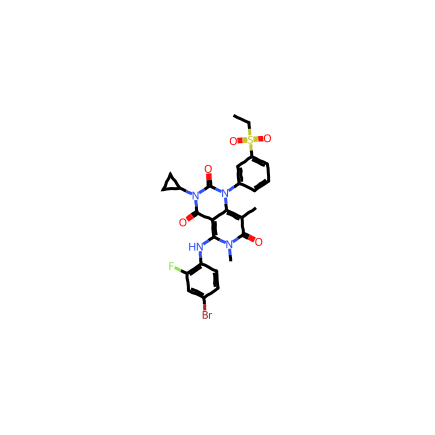 CCS(=O)(=O)c1cccc(-n2c(=O)n(C3CC3)c(=O)c3c(Nc4ccc(Br)cc4F)n(C)c(=O)c(C)c32)c1